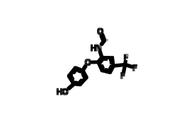 O=[C]Nc1cc(C(F)(F)F)ccc1Oc1ccc(O)cc1